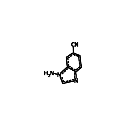 N#Cc1ccc2ncn(N)c2c1